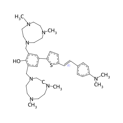 CN1CCN(C)CCN(Cc2cc(-c3ccc(/C=C/c4ccc(N(C)C)cc4)s3)cc(CN3CCN(C)CCN(C)CC3)c2O)CC1